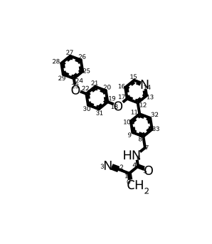 C=C(C#N)C(=O)NCc1ccc(-c2cnccc2Oc2ccc(Oc3ccccc3)cc2)cc1